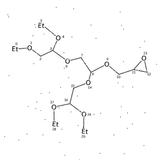 CCOCC(OCC)OCC(OCC1CO1)OCC(OCC)OCC